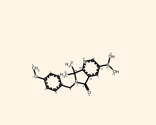 COc1ccc(CN2C(=O)c3cc(B(O)O)cnc3C2(C)C)cc1